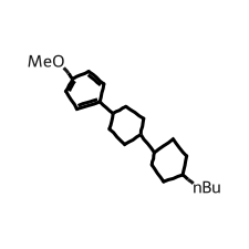 CCCCC1CCC(C2CCC(c3ccc(OC)cc3)CC2)CC1